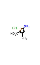 Cc1cc(N)sc1C(=O)O.Cl